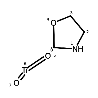 [CH]1NCCO1.[O]=[Ti]=[O]